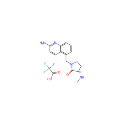 CN[C@H]1CCN(Cc2cccc3nc(N)ccc23)C1=O.O=C(O)C(F)(F)F